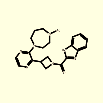 CC(=O)N1CCCN(c2nccnc2C2CN(C(=O)c3nc4ccccc4[nH]3)C2)CC1